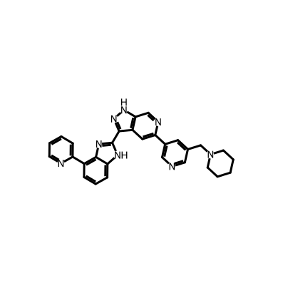 c1ccc(-c2cccc3[nH]c(-c4n[nH]c5cnc(-c6cncc(CN7CCCCC7)c6)cc45)nc23)nc1